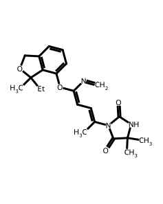 C=N/C(=C\C=C(/C)N1C(=O)NC(C)(C)C1=O)Oc1cccc2c1C(C)(CC)OC2